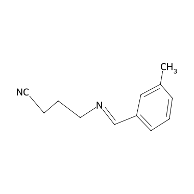 Cc1cccc(C=NCCCC#N)c1